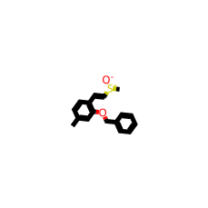 Cc1ccc(C=C[S+](C)[O-])c(OCc2ccccc2)c1